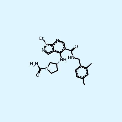 CCn1ncc2c(N[C@@H]3CCN(C(N)=O)C3)c(C(=O)NCc3ccc(C)cc3C)cnc21